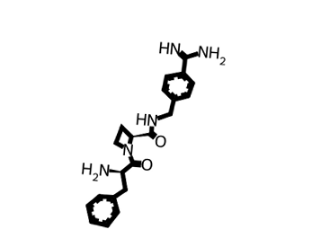 N=C(N)c1ccc(CNC(=O)[C@@H]2CCN2C(=O)[C@H](N)Cc2ccccc2)cc1